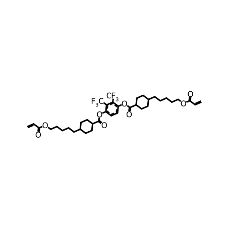 C=CC(=O)OCCCCCC1CCC(C(=O)Oc2ccc(OC(=O)C3CCC(CCCCCOC(=O)C=C)CC3)c(C(F)(F)F)c2C(F)(F)F)CC1